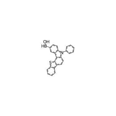 OBc1ccc2c(c1)c1c3sc4ccccc4c3ccc1n2-c1ccccc1